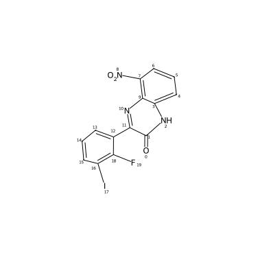 O=c1[nH]c2cccc([N+](=O)[O-])c2nc1-c1cccc(I)c1F